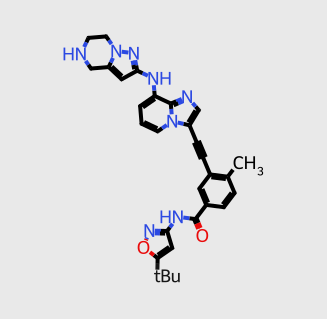 Cc1ccc(C(=O)Nc2cc(C(C)(C)C)on2)cc1C#Cc1cnc2c(Nc3cc4n(n3)CCNC4)cccn12